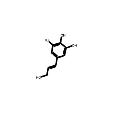 OCC=Cc1cc(O)c(O)c(O)c1